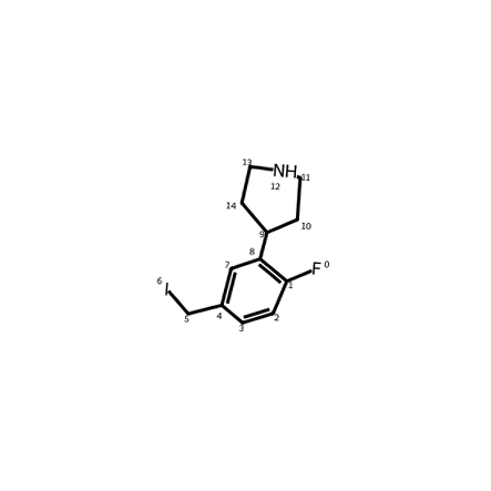 Fc1ccc(CI)cc1C1CCNCC1